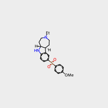 CCN1CC[C@H]2Nc3ccc(S(=O)(=O)c4ccc(OC)cc4)cc3[C@@H]2CC1